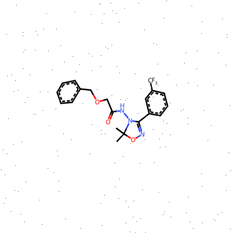 CC1(C)ON=C(c2cccc(C(F)(F)F)c2)N1NC(=O)COCc1ccccc1